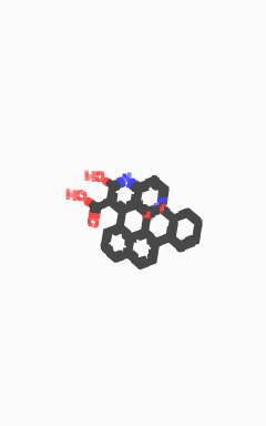 O=C(O)c1c(O)nc2ccncc2c1-c1cccc2ccc3c(c12)CCC1=C3C=CCC1